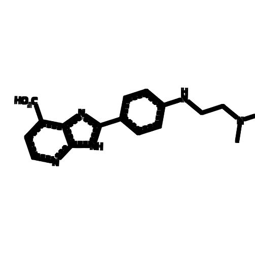 CN(C)CCNc1ccc(-c2nc3c(C(=O)O)ccnc3[nH]2)cc1